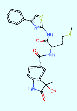 CSCCC(NC(=O)c1ccc2c(c1)C(C)(O)C(=O)N2)C(=O)Nc1nc(-c2ccccc2)cs1